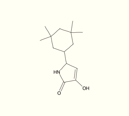 CC1(C)CC(C2C=C(O)C(=O)N2)CC(C)(C)C1